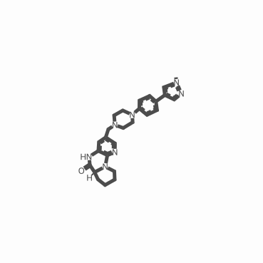 Cn1cc(-c2ccc(N3CCN(Cc4cnc5c(c4)NC(=O)[C@@H]4CCCCN54)CC3)cc2)cn1